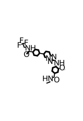 CCNC(=O)c1ccc(Nc2nc3ccc(-c4ccc(C(=O)NCC(F)(F)F)cc4)cn3n2)c(OC)c1